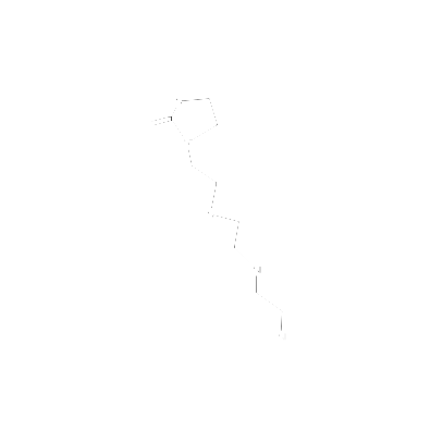 NCCNCCNCCN1CCNC1=O